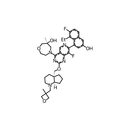 CCc1c(F)ccc2cc(O)cc(-c3ncc4c(N5CCOC[C@@](C)(O)C5)nc(OC[C@]56CCC[C@H]5N(CC5(C)COC5)CCC6)nc4c3F)c12